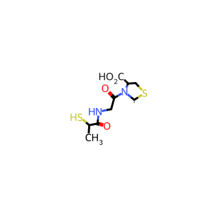 CC(S)C(=O)NCC(=O)N1[CH]SCC1C(=O)O